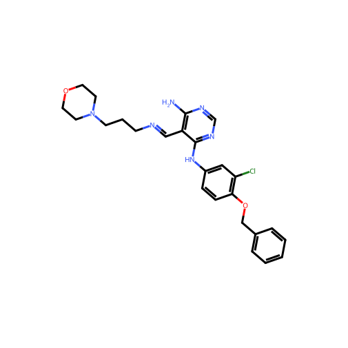 Nc1ncnc(Nc2ccc(OCc3ccccc3)c(Cl)c2)c1/C=N/CCCN1CCOCC1